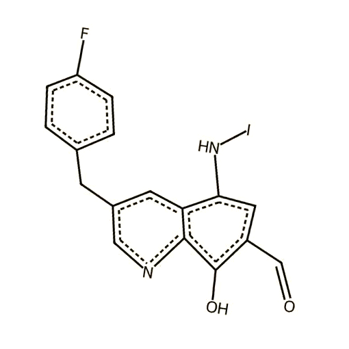 O=Cc1cc(NI)c2cc(Cc3ccc(F)cc3)cnc2c1O